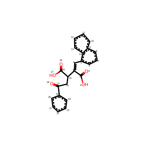 O=C(O)C(=Cc1cccc2ccccc12)C(CC(=O)c1ccccc1)C(=O)O